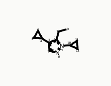 CCc1c(C2CC2)cnn1C1CC1